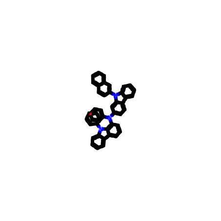 c1ccc(N(c2ccc3c4ccccc4n(-c4ccc5ccccc5c4)c3c2)c2cccc3c4ccccc4n(-c4ccccc4)c23)cc1